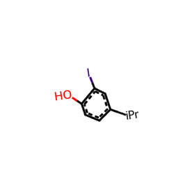 CC(C)c1ccc(O)c(I)c1